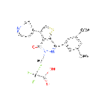 COc1cc(OC)cc(-c2nn(C)c(=O)c3c(-c4ccncc4)csc23)c1.O=C(O)C(F)(F)F